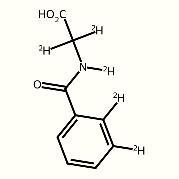 [2H]c1cccc(C(=O)N([2H])C([2H])([2H])C(=O)O)c1[2H]